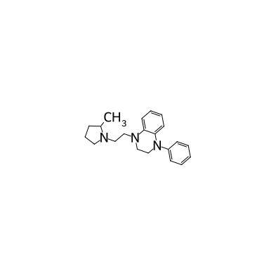 CC1CCCN1CCN1CCN(c2ccccc2)c2ccccc21